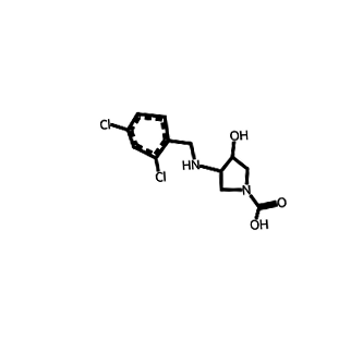 O=C(O)N1CC(O)C(NCc2ccc(Cl)cc2Cl)C1